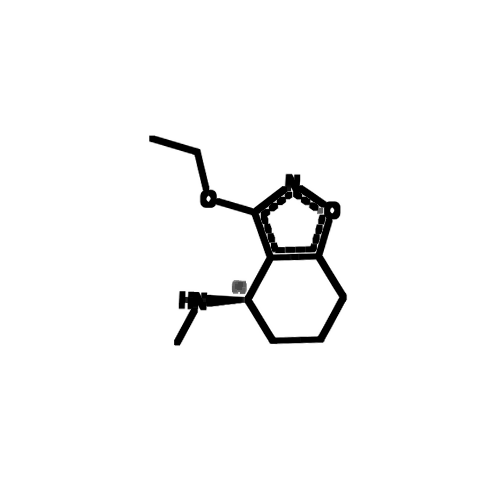 CCOc1noc2c1[C@H](NC)CCC2